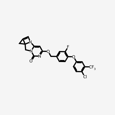 O=c1nc(OCc2ccc(Oc3ccc(Cl)c(C(F)(F)F)c3)c(F)c2)cc2n1CC13CC1=CN23